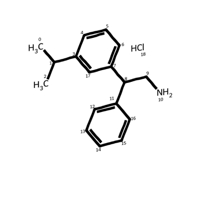 CC(C)c1cccc(C(CN)c2ccccc2)c1.Cl